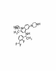 Cc1cc(NC(C)c2cccc(C(F)F)c2F)c2cc(N3CCNCC3)ccc2n1.Cl.Cl